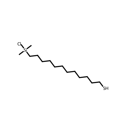 C[Si](C)(Cl)CCCCCCCCCCCCS